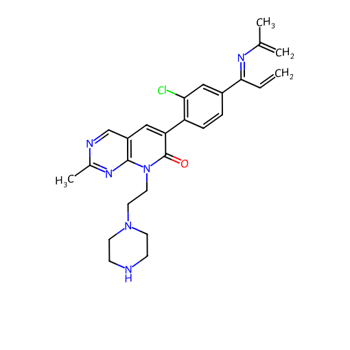 C=C/C(=N\C(=C)C)c1ccc(-c2cc3cnc(C)nc3n(CCN3CCNCC3)c2=O)c(Cl)c1